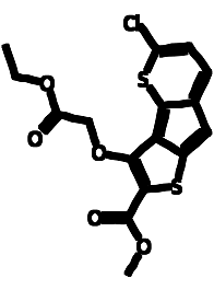 CCOC(=O)COc1c(C(=O)OC)sc2cc3ccc(Cl)sc-3c12